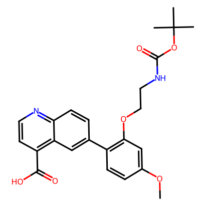 COc1ccc(-c2ccc3nccc(C(=O)O)c3c2)c(OCCNC(=O)OC(C)(C)C)c1